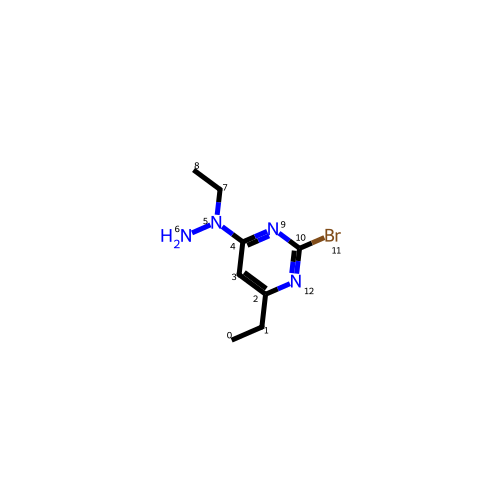 CCc1cc(N(N)CC)nc(Br)n1